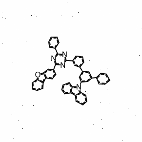 c1ccc(-c2cc(-c3cccc(-c4nc(-c5ccccc5)nc(-c5ccc6c(c5)oc5ccccc56)n4)c3)cc(-n3c4ccccc4c4ccccc43)c2)cc1